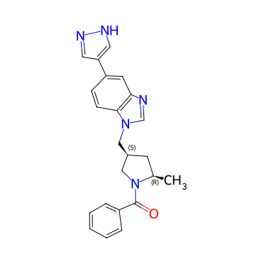 C[C@@H]1C[C@H](Cn2cnc3cc(-c4cn[nH]c4)ccc32)CN1C(=O)c1ccccc1